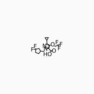 O=C(O)c1c(OCC(F)(F)F)c(C2CC2)nn1CC1CCC(F)(F)C1